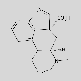 CN1CCCC2c3cccc4c3[C@@](C(=O)O)(C=N4)C[C@H]21